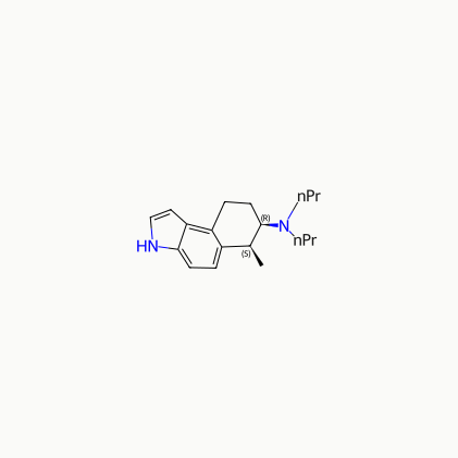 CCCN(CCC)[C@@H]1CCc2c(ccc3[nH]ccc23)[C@@H]1C